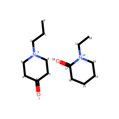 CCCN1CCC(=O)CC1.CCN1CCCCC1=O